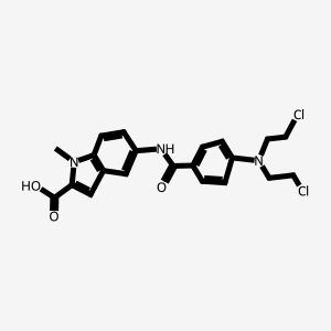 Cn1c(C(=O)O)cc2cc(NC(=O)c3ccc(N(CCCl)CCCl)cc3)ccc21